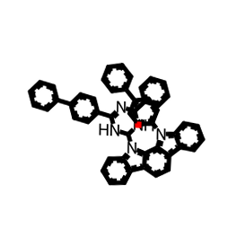 c1ccc(-c2ccc(C3=NC(c4ccccc4)NC(n4c5ccccc5c5ccc6c7ccccc7n(-c7ccc(-c8ccccc8)cc7)c6c54)N3)cc2)cc1